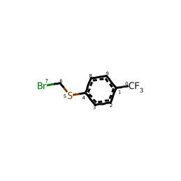 FC(F)(F)c1ccc(SCBr)cc1